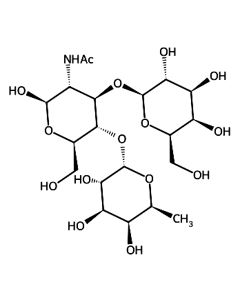 CC(=O)N[C@@H]1[C@@H](O[C@@H]2O[C@H](CO)[C@H](O)[C@H](O)[C@H]2O)[C@H](O[C@@H]2O[C@@H](C)[C@@H](O)[C@@H](O)[C@@H]2O)[C@@H](CO)O[C@H]1O